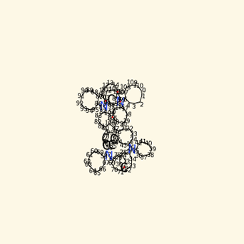 C1CCCCC(N(C2CCCCCCCC2)C2CCCC3C4CCCC(N(C5CCCCCCC5)C5CCCCCCC5)CCCC4C4(C3CCC2)C2CCCC(N(C3CCCCCCCCC3)C3CCCCCCC3)CCCC2C2CCCC(N(C3CCCCCCCCC3)C3CCCCCCC3)CCC24)CCCC1